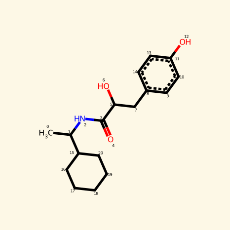 CC(NC(=O)C(O)Cc1ccc(O)cc1)C1CCCCC1